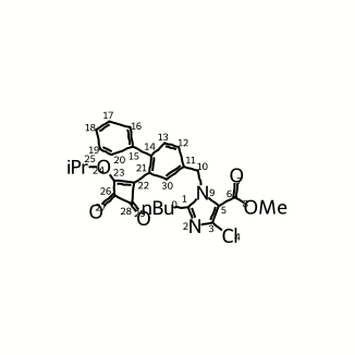 CCCCc1nc(Cl)c(C(=O)OC)n1Cc1ccc(-c2ccccc2)c(-c2c(OC(C)C)c(=O)c2=O)c1